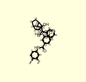 O=C(Nc1ccc(F)c(F)c1)c1ccc(Cl)c(S(=O)(=O)[C@H]2CC3CCC(C2)[C@]3(O)C(O)C(O)c2cccnc2)c1